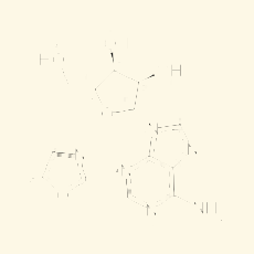 Nc1ncnc2c1ncn2[C@@H]1O[C@H](CO)[C@@H](O)[C@H]1O.c1cocn1